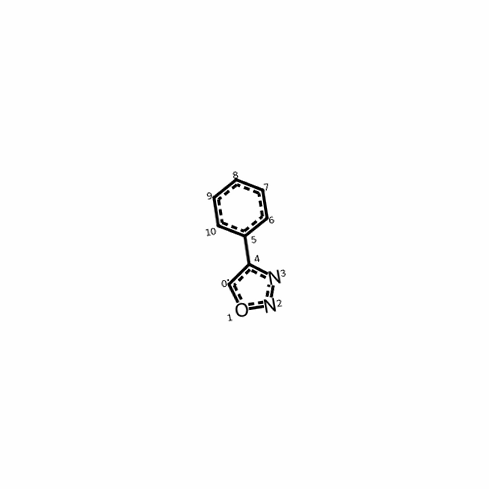 [c]1onnc1-c1ccccc1